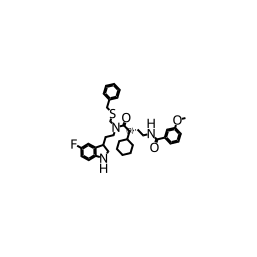 COc1cccc(C(=O)NCC[C@@H](C(=O)N(CCC2CNc3ccc(F)cc32)CSCc2ccccc2)C2CCCCC2)c1